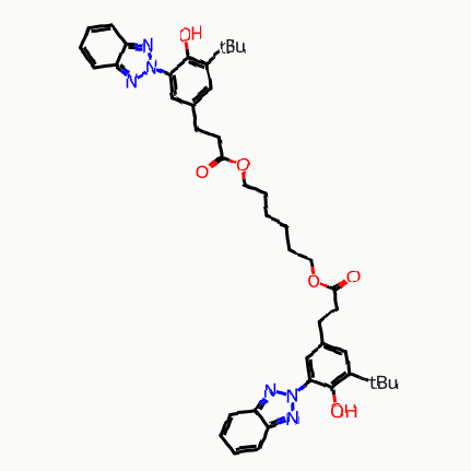 CC(C)(C)c1cc(CCC(=O)OCCCCCCOC(=O)CCc2cc(-n3nc4ccccc4n3)c(O)c(C(C)(C)C)c2)cc(-n2nc3ccccc3n2)c1O